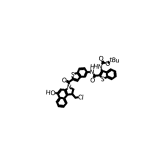 CC(C)(C)OC(=O)Nc1c(C(=O)Nc2ccc3sc(C(=O)N4CC(CCl)c5c4cc(O)c4ccccc54)cc3c2)sc2ccccc12